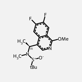 COc1ncc([C@H](C)N(C)[S+]([O-])C(C)(C)C)c2cc(F)c(F)cc12